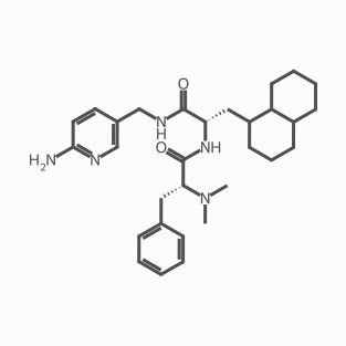 CN(C)[C@H](Cc1ccccc1)C(=O)N[C@@H](CC1CCCC2CCCCC21)C(=O)NCc1ccc(N)nc1